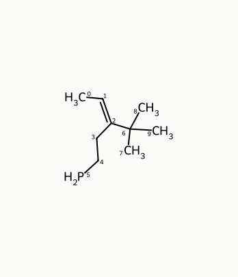 C/C=C(\CCP)C(C)(C)C